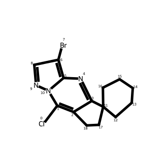 Clc1c2c(nc3c(Br)cnn13)C1(CCCCC1)CC2